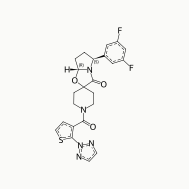 O=C(c1ccsc1-n1nccn1)N1CCC2(CC1)O[C@@H]1CC[C@@H](c3cc(F)cc(F)c3)N1C2=O